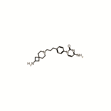 Nc1ccn(-c2ccc(CCCN3CCC4(CC3)CC(N)C4)cc2)c(=O)n1